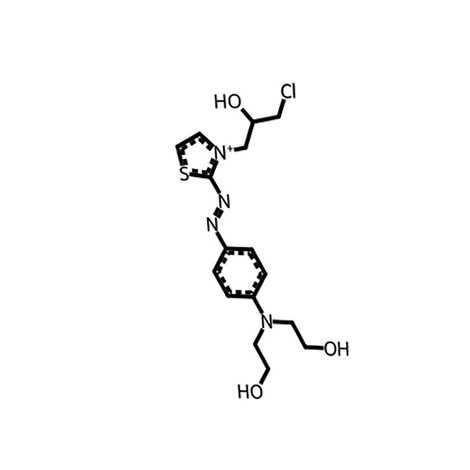 OCCN(CCO)c1ccc(/N=N/c2scc[n+]2CC(O)CCl)cc1